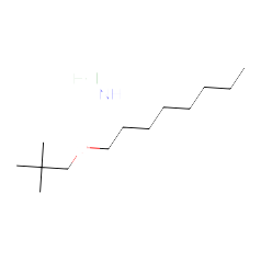 CCCCCCCCOCC(C)(C)C.Cl.N